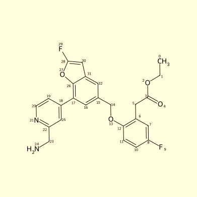 CCOC(=O)Cc1cc(F)ccc1OCc1cc(-c2ccnc(CN)c2)c2oc(F)cc2c1